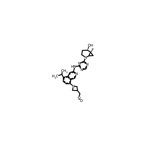 CC(C)c1ccc(N2CC(C[S+]=O)C2)c2cnc(Nc3ncnc(N4CC[C@@H](O)[C@]5(F)CC45)n3)cc12